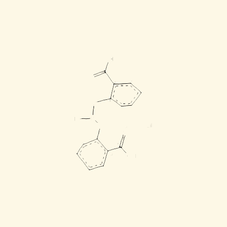 O=C(O)c1ccccc1OB(O)Oc1ccccc1C(=O)O.[LiH]